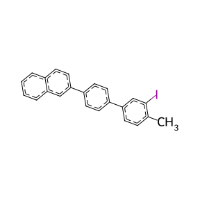 Cc1ccc(-c2ccc(-c3ccc4ccccc4c3)cc2)cc1I